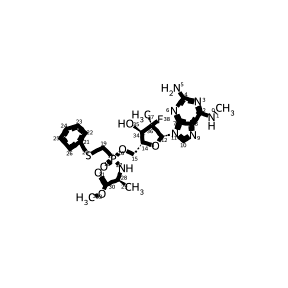 CNc1nc(N)nc2c1ncn2[C@@H]1O[C@H](COP(=O)(CSc2ccccc2)N[C@@H](C)C(=O)OC)[C@@H](O)[C@@]1(C)F